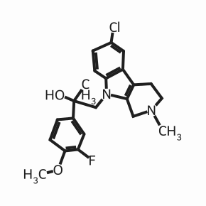 COc1ccc(C(C)(O)Cn2c3c(c4cc(Cl)ccc42)CCN(C)C3)cc1F